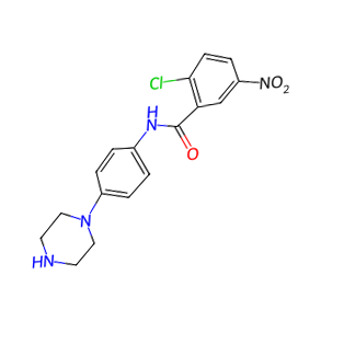 O=C(Nc1ccc(N2CCNCC2)cc1)c1cc([N+](=O)[O-])ccc1Cl